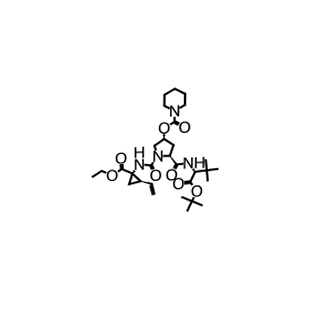 C=C[C@H]1C[C@]1(NC(=O)N1C[C@@H](OC(=O)N2CCCCC2)C[C@H]1C(=O)N[C@H](C(=O)OC(C)(C)C)C(C)(C)C)C(=O)OCC